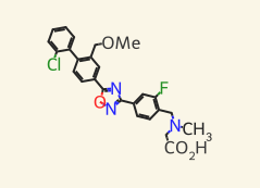 COCc1cc(-c2nc(-c3ccc(CN(C)CC(=O)O)c(F)c3)no2)ccc1-c1ccccc1Cl